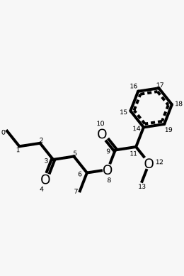 CCCC(=O)CC(C)OC(=O)C(OC)c1ccccc1